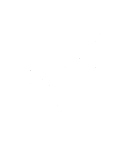 CC(=O)Oc1cccc(/C=C/c2ccc(OC(F)F)c(OCC3CC3)c2)c1